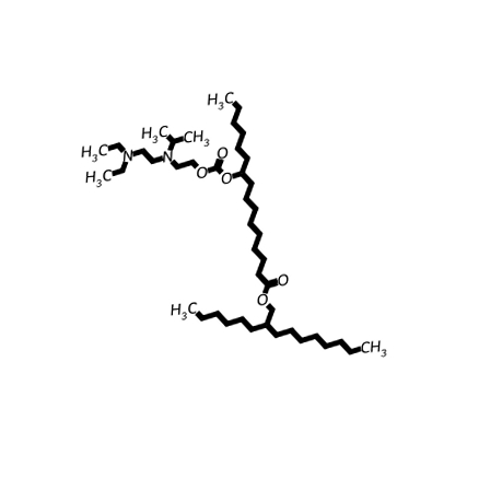 CCCCCCCCC(CCCCCC)COC(=O)CCCCCCCCC(CCCCCC)OC(=O)OCCN(CCN(CC)CC)C(C)C